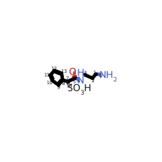 NCCCNC(=O)C(c1ccccc1)S(=O)(=O)O